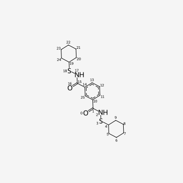 O=C(NSC1CCCCC1)c1cccc(C(=O)NSC2CCCCC2)c1